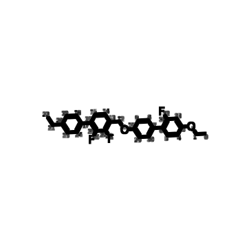 CCOc1ccc(-c2ccc(OCc3ccc(-c4ccc(CC)cc4)c(F)c3F)cc2)c(F)c1